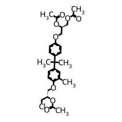 CC(=O)OC[C@@H](COc1ccc(C(C)(C)c2ccc(OC[C@@H](CCl)OC(C)=O)c(C)c2)cc1)OC(C)=O